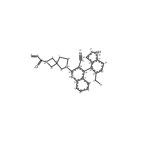 C=CC(=O)N1CC2(CCN(c3nc4ccccc4c(-c4c(CC)ccc5[nH]ncc45)c3C#N)C2)C1